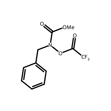 COC(=O)N(Cc1ccccc1)OC(=O)C(F)(F)F